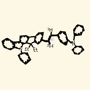 [2H]/C(=C(/[2H])c1ccc2c(c1)C(CC)(CC)c1c-2ccc2c3ccccc3n(-c3ccccc3)c12)c1ccc(N(c2ccccc2)c2ccccc2)cc1